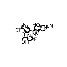 Cc1c(-c2cc(OC(CO)c3ccc(F)cn3)c3c(Cl)cnn3c2)nnn1[C@@H]1CCN(C#N)C[C@@H]1O